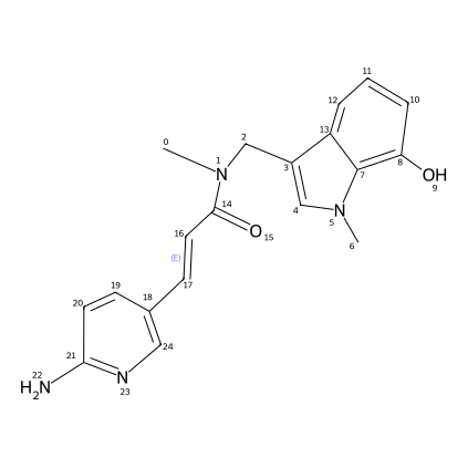 CN(Cc1cn(C)c2c(O)cccc12)C(=O)/C=C/c1ccc(N)nc1